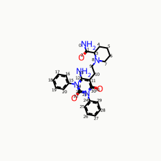 NC(=O)C1CCCCN1CCc1c(N)n(-c2ccccc2)c(=O)n(-c2ccccc2)c1=O